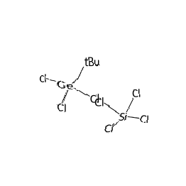 C[C](C)(C)[Ge]([Cl])([Cl])[Cl].Cl[Si](Cl)(Cl)Cl